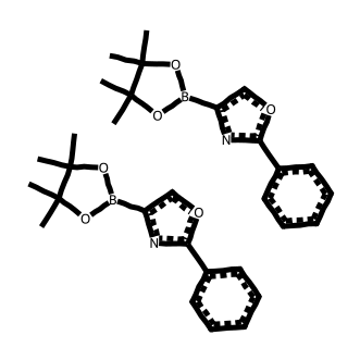 CC1(C)OB(c2coc(-c3ccccc3)n2)OC1(C)C.CC1(C)OB(c2coc(-c3ccccc3)n2)OC1(C)C